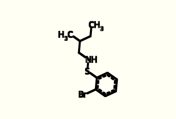 CCC(C)CNSc1ccccc1Br